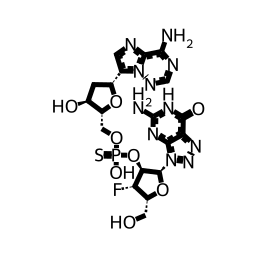 Nc1nc2c(nnn2[C@@H]2O[C@H](CO)[C@H](F)[C@H]2OP(O)(=S)OC[C@H]2O[C@@H](c3cnc4c(N)ncnn34)C[C@@H]2O)c(=O)[nH]1